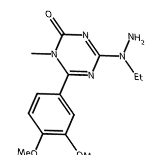 CCN(N)c1nc(-c2ccc(OC)c(OC)c2)n(C)c(=O)n1